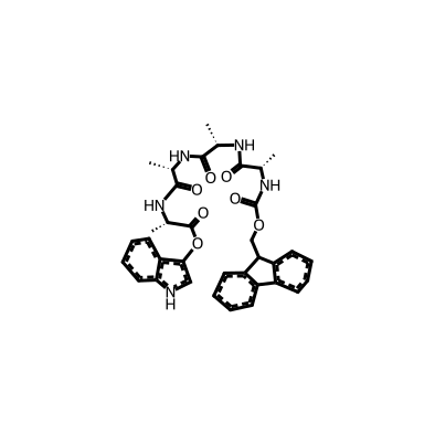 C[C@H](NC(=O)OCC1c2ccccc2-c2ccccc21)C(=O)N[C@@H](C)C(=O)N[C@@H](C)C(=O)N[C@@H](C)C(=O)Oc1c[nH]c2ccccc12